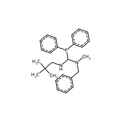 CN(Cc1ccccc1)C(NCC(C)(C)C)P(c1ccccc1)c1ccccc1